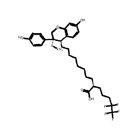 CS[C@]1(c2ccc(O)cc2)COc2cc(O)ccc2[C@H]1CCCCCCCC[C@@H](CCCC(F)(F)C(F)(F)F)C(=O)O